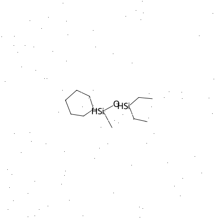 CC[SiH](CC)O[SiH](C)C1CCCCC1